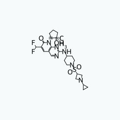 C[C@@]1(O)CCC[C@H]1n1c(=O)c(C(F)F)cc2cnc(NC3CCN(S(=O)(=O)C4CN(C5CC5)C4)CC3)nc21